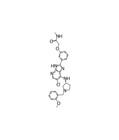 CNC(=O)COc1cccc(-c2nc3c(N[C@H]4CCN(Cc5ccccc5OC)C4)c(Cl)cnc3[nH]2)c1